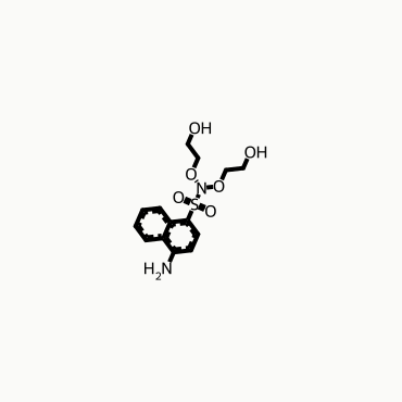 Nc1ccc(S(=O)(=O)N(OCCO)OCCO)c2ccccc12